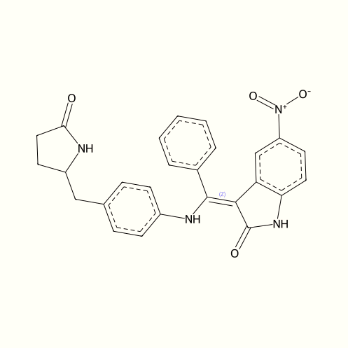 O=C1CCC(Cc2ccc(N/C(=C3\C(=O)Nc4ccc([N+](=O)[O-])cc43)c3ccccc3)cc2)N1